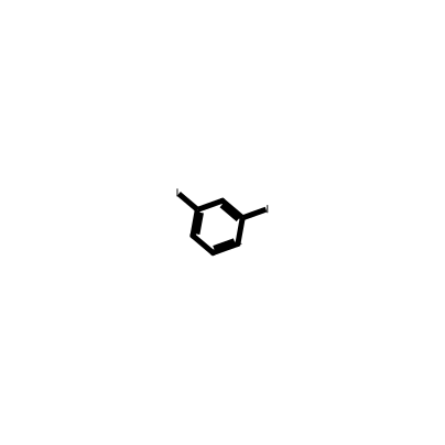 Ic1[c][c]cc(I)c1